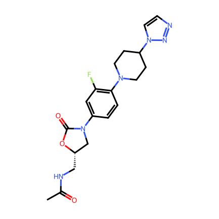 CC(=O)NC[C@H]1CN(c2ccc(N3CCC(n4ccnn4)CC3)c(F)c2)C(=O)O1